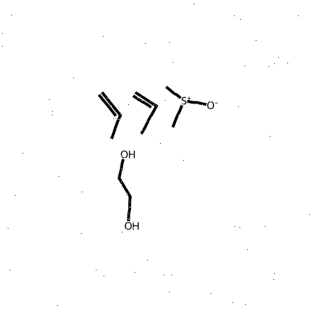 C=CC.C=CC.C[S+](C)[O-].OCCO